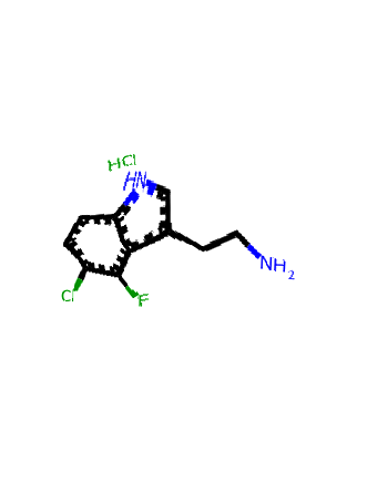 Cl.NCCc1c[nH]c2ccc(Cl)c(F)c12